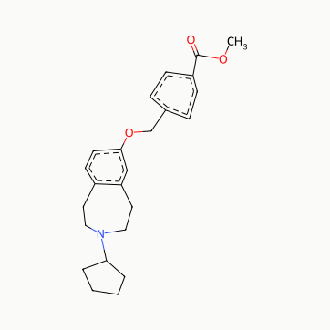 COC(=O)c1ccc(COc2ccc3c(c2)CCN(C2CCCC2)CC3)cc1